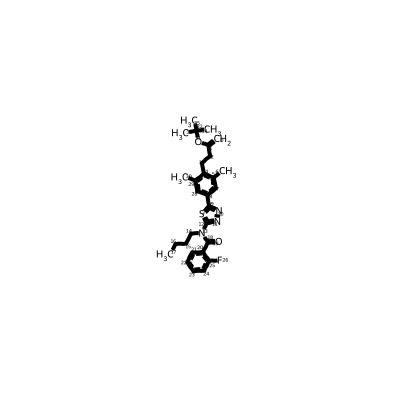 C=C(CCc1c(C)cc(-c2nnc(N(CCCC)C(=O)c3ccccc3F)s2)cc1C)OC(C)(C)C